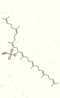 CCCS(=O)(=O)OC(/C=C(\C)CC/C=C(\C)CC/C=C(\C)CCC=C(C)C)CC=C(C)CCC=C(C)CCC=C(C)C